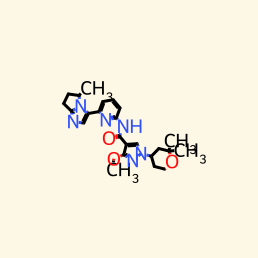 COc1nn(C2CCOC(C)(C)C2)cc1C(=O)Nc1cccc(-c2cnc3n2C(C)CC3)n1